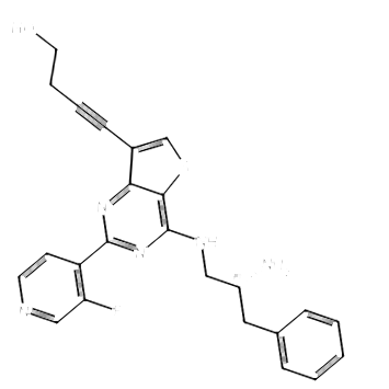 N[C@@H](CNc1nc(-c2ccncc2F)nc2c(C#CCCO)csc12)Cc1ccccc1